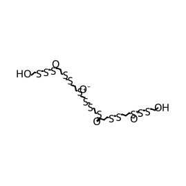 O=C(CCSCSCCC[S+]([O-])CSCSCCO)SCCSCSCC[S+]([O-])CCCSCSCCC(=O)SCSCSCCO